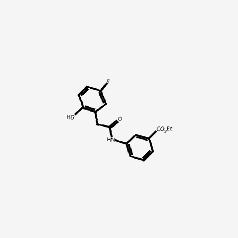 CCOC(=O)c1cccc(NC(=O)Cc2cc(F)ccc2O)c1